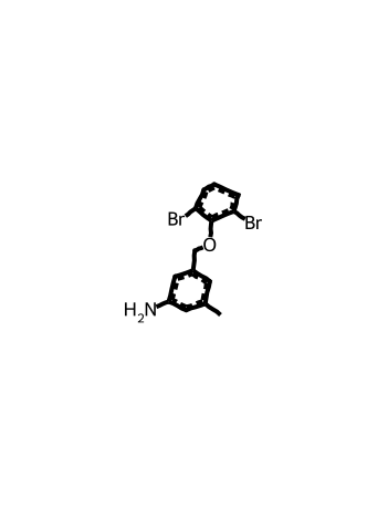 Cc1cc(N)cc(COc2c(Br)cccc2Br)c1